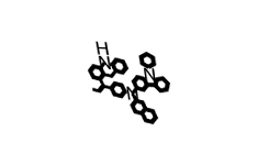 C/C=C(/c1ccc(N(c2ccc3ccccc3c2)c2ccc3c(c2)c2ccccc2n3-c2ccccc2)cc1)c1cccc2c1Cc1ccccc1N2